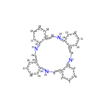 C1=c2/cccc/c2=N/C=c2/cccc/c2=N/C=c2/cccc/c2=N/C=c2/cccc/c2=N/1